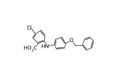 O=C(O)c1cc(Cl)ccc1Nc1ccc(OCc2ccccc2)cc1